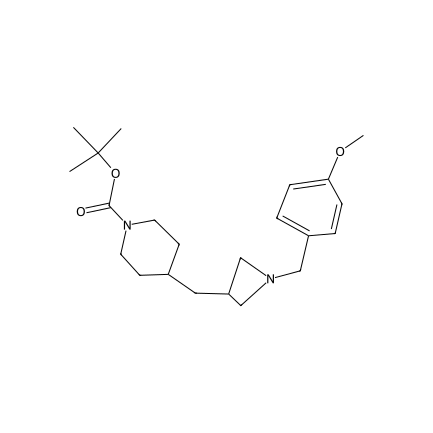 COc1ccc(CN2CC(CC3CCN(C(=O)OC(C)(C)C)CC3)C2)cc1